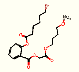 O=C(COC(=O)c1ccccc1OC(=O)CCCCCBr)OCCCCO[N+](=O)[O-]